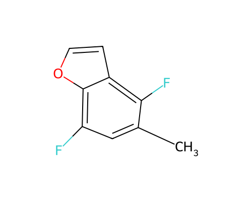 Cc1cc(F)c2occc2c1F